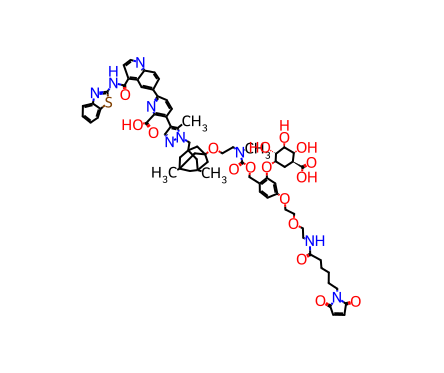 Cc1c(-c2ccc(-c3ccc4nccc(C(=O)Nc5nc6ccccc6s5)c4c3)nc2C(=O)O)cnn1CC12CC3(C)CC(C)(C1)CC(OCCN(C)C(=O)OCc1ccc(OCCOCCNC(=O)CCCCCN4C(=O)C=CC4=O)cc1O[C@@H]1C[C@H](C(=O)O)[C@@H](O)[C@H](O)[C@H]1O)(C3)C2